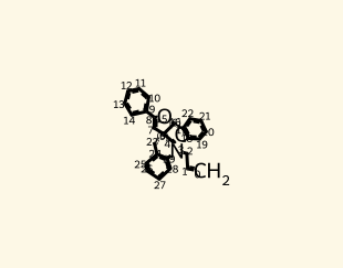 C=CCN1C(=O)[C@]2(C=C(c3ccccc3)O[C@H]2c2ccccc2)Cc2ccccc21